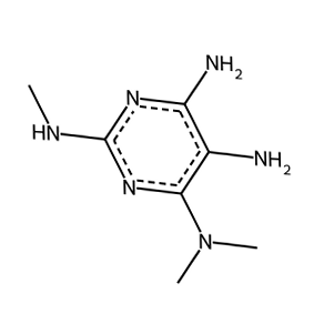 CNc1nc(N)c(N)c(N(C)C)n1